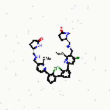 COc1nc(-c2cccc(-c3cccc(-c4cc(F)c(CNC[C@H]5CCC(=O)N5)c(OC)n4)c3Cl)c2Cl)ccc1CNC[C@@H]1CCC(=O)N1